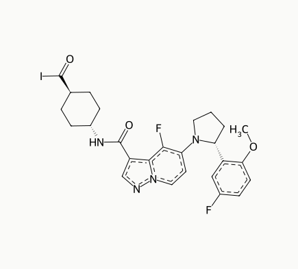 COc1ccc(F)cc1[C@H]1CCCN1c1ccn2ncc(C(=O)N[C@H]3CC[C@H](C(=O)I)CC3)c2c1F